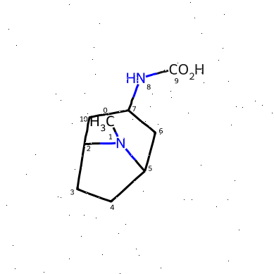 CN1C2CCC1CC(NC(=O)O)C2